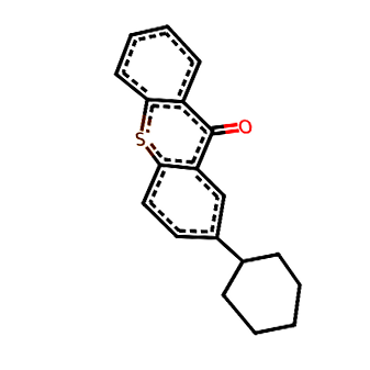 O=c1c2ccccc2sc2ccc(C3CCCCC3)cc12